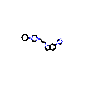 c1cc2ccn(CCCN3CCN(C4CCCCC4)CC3)c2cc1-n1cnnc1